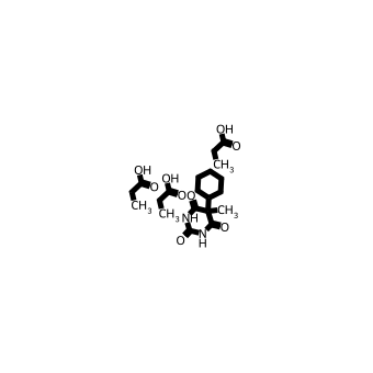 CC1(C2CCCCC2)C(=O)NC(=O)NC1=O.CCC(=O)O.CCC(=O)O.CCC(=O)O